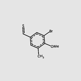 COc1c(C)cc(C=S)cc1Br